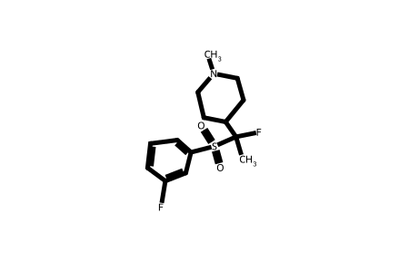 CN1CCC(C(C)(F)S(=O)(=O)c2cccc(F)c2)CC1